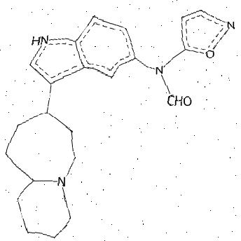 O=CN(c1ccc2[nH]cc(C3CCC4CCCCN4CC3)c2c1)c1ccno1